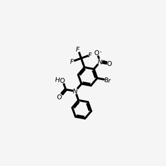 O=C(O)N(c1ccccc1)c1cc(Br)c([N+](=O)[O-])c(C(F)(F)F)c1